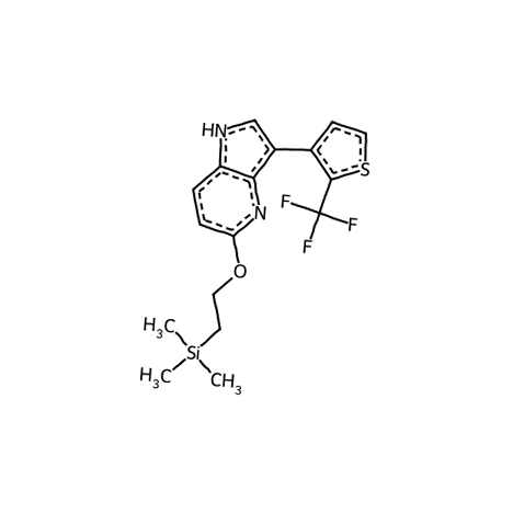 C[Si](C)(C)CCOc1ccc2[nH]cc(-c3ccsc3C(F)(F)F)c2n1